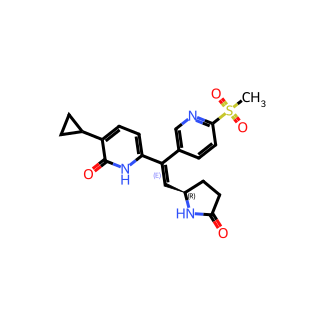 CS(=O)(=O)c1ccc(/C(=C\[C@H]2CCC(=O)N2)c2ccc(C3CC3)c(=O)[nH]2)cn1